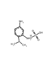 CN(C)c1ccc(N)cc1N.O=S(=O)(O)O